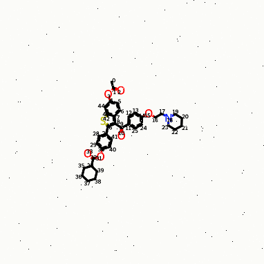 CC(=O)Oc1ccc2c(C(=O)c3ccc(OCCN4CCCCC4)cc3)c(-c3ccc(OC(=O)C4CCCCC4)cc3)sc2c1